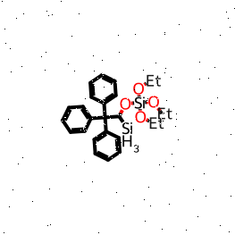 CCO[Si](OCC)(OCC)OC([SiH3])C(c1ccccc1)(c1ccccc1)c1ccccc1